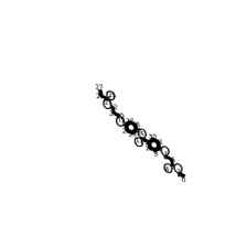 C=COC(=O)CCOc1ccc(C(=O)Oc2ccc(OCCCOC(=O)C=C)cc2)cc1